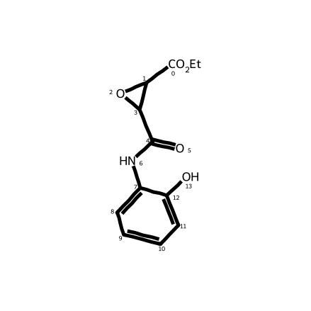 CCOC(=O)C1OC1C(=O)Nc1ccccc1O